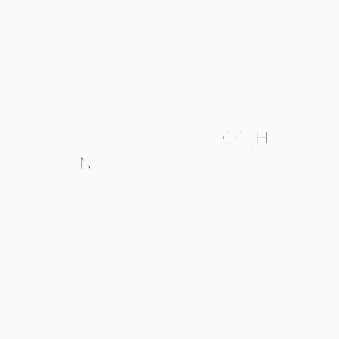 O=C(O)CCCCC1=NCCC1